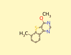 COc1ncnc2c1sc1c(C)cccc12